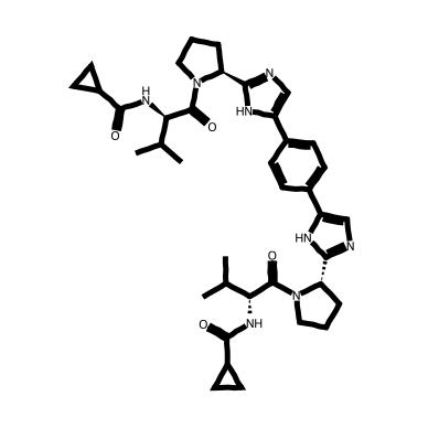 CC(C)[C@@H](NC(=O)C1CC1)C(=O)N1CCC[C@H]1c1ncc(-c2ccc(-c3cnc([C@@H]4CCCN4C(=O)[C@H](NC(=O)C4CC4)C(C)C)[nH]3)cc2)[nH]1